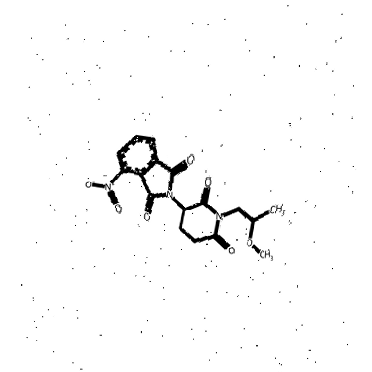 COC(C)CN1C(=O)CCC(N2C(=O)c3cccc([N+](=O)[O-])c3C2=O)C1=O